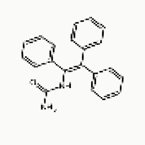 NC(=O)NC(=C(c1ccccc1)c1ccccc1)c1ccccc1